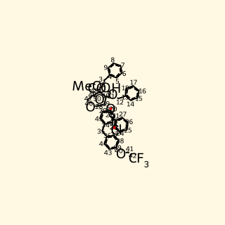 CO[C@]1(OCc2ccccc2)[C@@H](OCc2ccccc2)[C@@H](OCc2ccccc2)[C@@]2(c3ccc(Cl)c(Cc4ccc(OCC(F)(F)F)cc4)c3)OC[C@]1(C(=O)O)O2